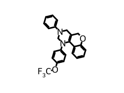 FC(F)(F)Oc1ccc(N2CN(c3ccccc3)CC3=C2c2ccccc2OC3)cc1